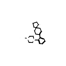 CCCCN1CCN(c2ccccc2C2=CCC3(CCCC3)CC2)CC1